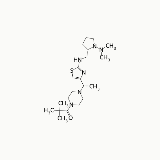 C[C@@H](c1csc(NC[C@@H]2CCCN2N(C)C)n1)N1CCN(C(=O)C(C)(C)C)CC1